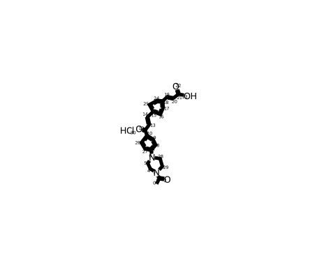 CC(=O)N1CCN(c2ccc(C(=O)C=Cc3ccc(C=CC(=O)O)cc3)cc2)CC1.Cl